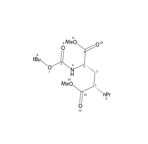 CCC[C@@H](C[C@H](NC(=O)OC(C)(C)C)C(=O)OC)C(=O)OC